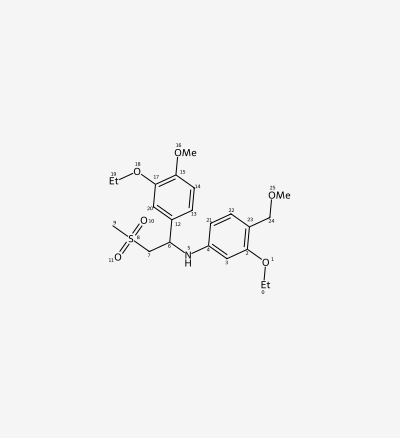 CCOc1cc(NC(CS(C)(=O)=O)c2ccc(OC)c(OCC)c2)ccc1COC